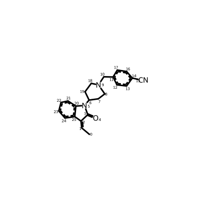 CC=C1C(=O)N(C2CCN(Cc3ccc(C#N)cc3)CC2)c2ccccc21